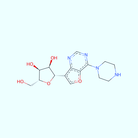 OC[C@H]1O[C@@H](c2coc3c(N4CCNCC4)ncnc23)[C@H](O)[C@@H]1O